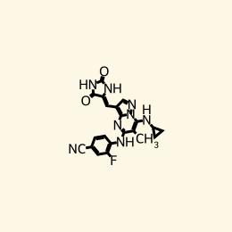 Cc1c(Nc2ccc(C#N)cc2F)nc2c(/C=C3\NC(=O)NC3=O)cnn2c1NC1CC1